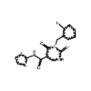 O=C(Nc1nccs1)c1c[nH]c(=O)n(Cc2ccccc2F)c1=O